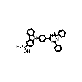 CC1(c2ccccc2)N=C(c2ccc(-n3c4ccccc4c4cc(B(O)O)ccc43)cc2)N=C(c2ccccc2)N1